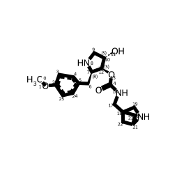 COc1ccc(C[C@H]2NC[C@H](O)[C@H]2OC(=O)NCC23CNC(C2)C3)cc1